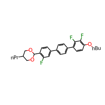 CCCCOc1ccc(-c2ccc(-c3ccc(C4OCC(CCC)CO4)c(F)c3)cc2)c(F)c1F